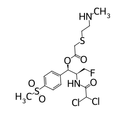 CNCCSCC(=O)O[C@H](c1ccc(S(C)(=O)=O)cc1)[C@@H](CF)NC(=O)C(Cl)Cl